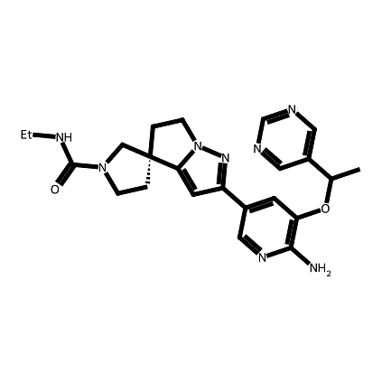 CCNC(=O)N1CC[C@@]2(CCn3nc(-c4cnc(N)c(OC(C)c5cncnc5)c4)cc32)C1